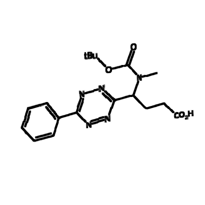 CN(C(=O)OC(C)(C)C)C(CCC(=O)O)c1nnc(-c2ccccc2)nn1